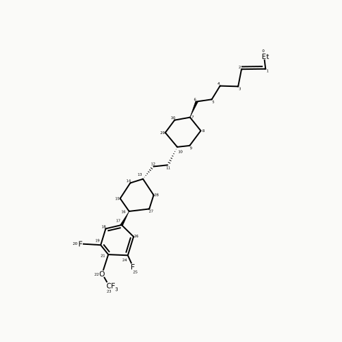 CC/C=C/CCCC[C@H]1CC[C@H](CC[C@H]2CC[C@H](c3cc(F)c(OC(F)(F)F)c(F)c3)CC2)CC1